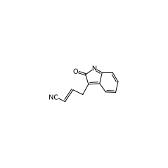 N#CC=CCC1=c2ccccc2=NC1=O